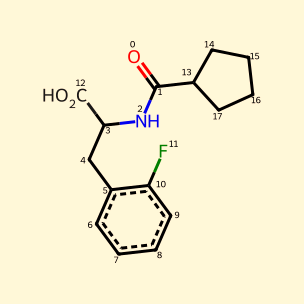 O=C(NC(Cc1ccccc1F)C(=O)O)C1CCCC1